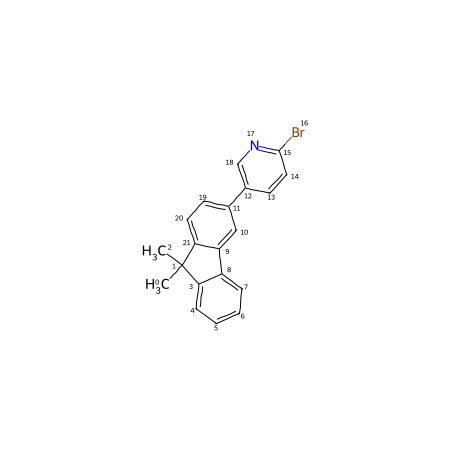 CC1(C)c2ccccc2-c2cc(-c3ccc(Br)nc3)ccc21